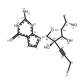 C[C@H](N=O)[C@H]1O[C@@H](n2ccc3c(=O)[nH]c(N)nc32)[C@@](O)(C#CCF)C1O